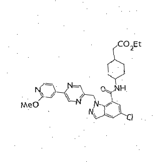 CCOC(=O)CC1CCC(NC(=O)c2cc(Cl)cc3cnn(Cc4cnc(-c5ccnc(OC)c5)cn4)c23)CC1